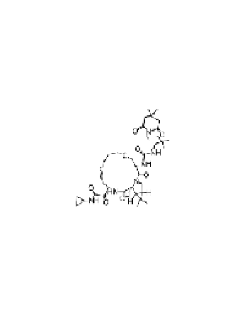 CC1(C)CC(=O)N(C[C@@H](NC(=O)N[C@H]2CCCCCCCC[C@H](C(=O)C(=O)NC3CC3)NC(=O)[C@@H]3[C@@H]4[C@H](CN3C2=O)C4(C)C)C(C)(C)C)C(=O)C1